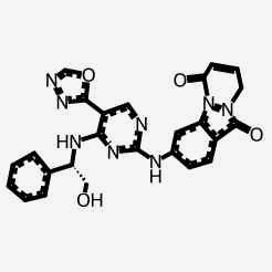 O=C1C=CCn2c(=O)c3ccc(Nc4ncc(-c5nnco5)c(N[C@H](CO)c5ccccc5)n4)cc3n21